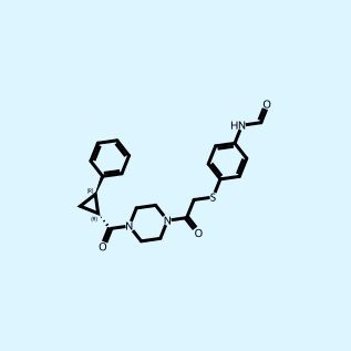 O=CNc1ccc(SCC(=O)N2CCN(C(=O)[C@@H]3C[C@H]3c3ccccc3)CC2)cc1